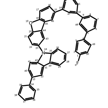 Fc1ccc(-c2cccc(-c3cccc(-c4ccc5oc6ccc(-n7c8ccccc8c8cc(-c9ccccc9)ccc87)cc6c5c4)c3)c2)cc1